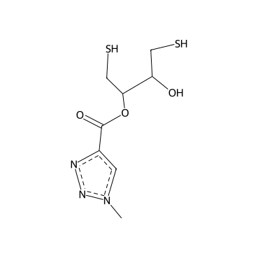 Cn1cc(C(=O)OC(CS)C(O)CS)nn1